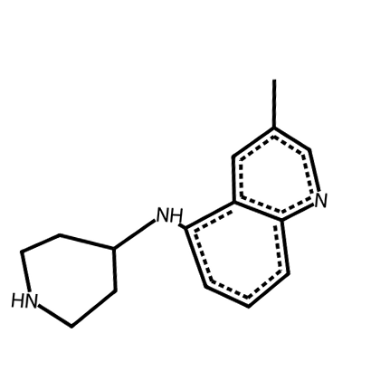 Cc1cnc2cccc(NC3CCNCC3)c2c1